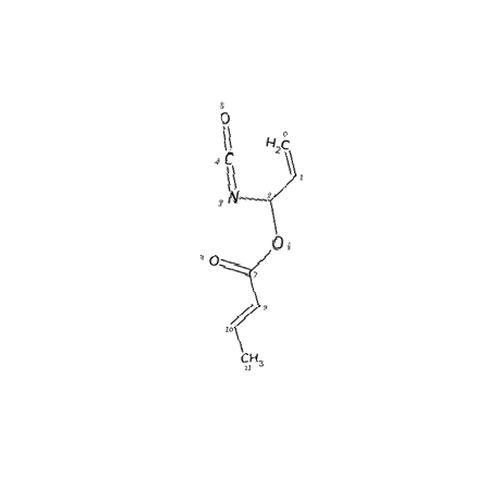 C=CC(N=C=O)OC(=O)/C=C/C